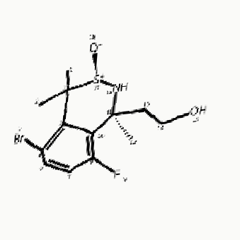 CC1(C)c2c(Br)ccc(F)c2[C@](C)(CCO)N[S@+]1[O-]